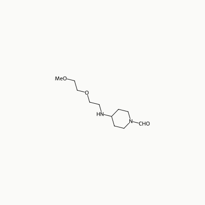 COCCOCCNC1CCN(C=O)CC1